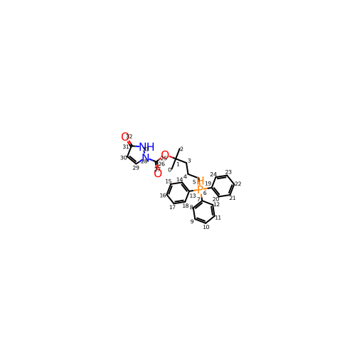 CC(C)(CCC[PH](c1ccccc1)(c1ccccc1)c1ccccc1)OC(=O)n1ccc(=O)[nH]1